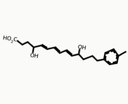 Cc1ccc(CCCC(O)C=CC=CC=CC(O)CCC(=O)O)cc1